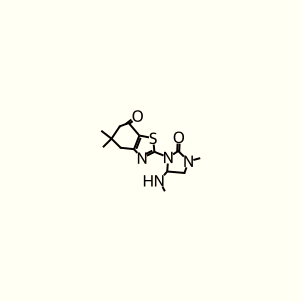 CNC1CN(C)C(=O)N1c1nc2c(s1)C(=O)CC(C)(C)C2